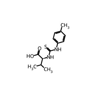 Cc1ccc(NC(=S)N[C@H](C(=O)O)C(C)C)cc1